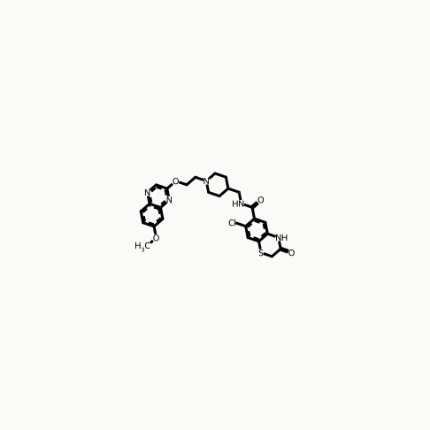 COc1ccc2ncc(OCCN3CCC(CNC(=O)c4cc5c(cc4Cl)SCC(=O)N5)CC3)nc2c1